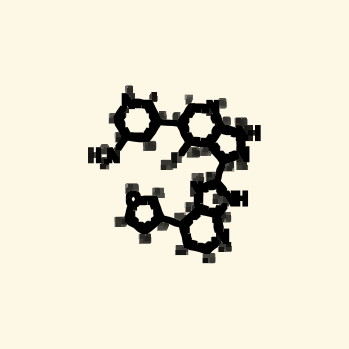 Nc1cncc(-c2cnc3[nH]nc(-c4nc5c(-c6ccoc6)ccnc5[nH]4)c3c2F)c1